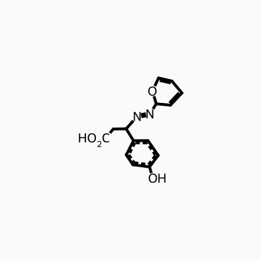 O=C(O)CC(N=NC1C=CC=CO1)c1ccc(O)cc1